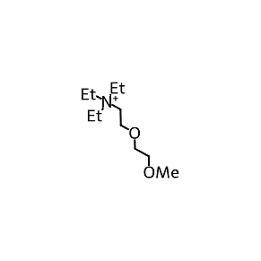 CC[N+](CC)(CC)CCOCCOC